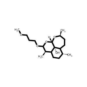 COCCCOC1O[C@@H]2O[C@@H](C)CCC3[C@H](C)CCC([C@H]1C)[C@]32O